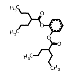 CCCC(CCC)C(=O)Oc1ccccc1OC(=O)C(CCC)CCC